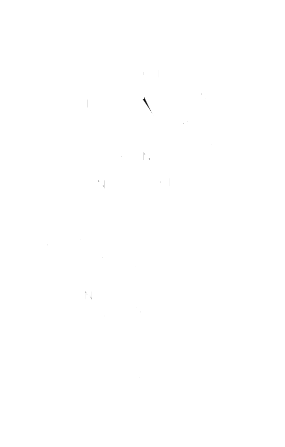 C=CC(=O)N1CCOC2(CCN(C(=O)N(C)[C@H](C(=O)OC)C(C)C)CC2)[C@@H]1C